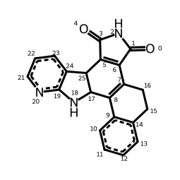 O=C1NC(=O)C2=C1C1=C(c3ccccc3CC1)C1Nc3ncccc3C21